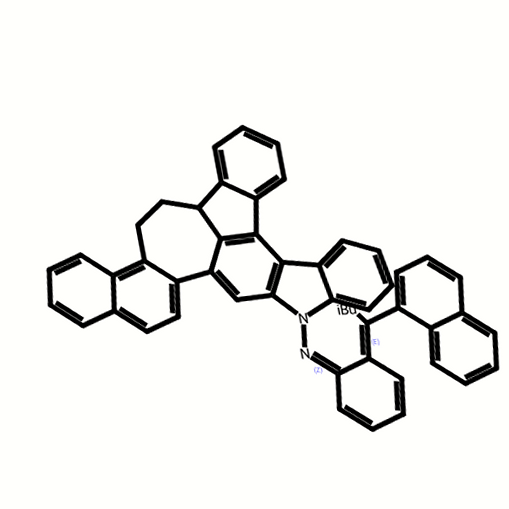 CCC(C)/C(=C1/C=CC=C/C1=N/n1c2ccccc2c2c3c4c(cc21)-c1ccc2ccccc2c1CCC4c1ccccc1-3)c1cccc2ccccc12